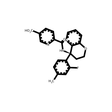 Cc1ccc([C@@]2(NC(=O)c3ccc(C(=O)O)cn3)CCOc3cccnc32)c(F)c1